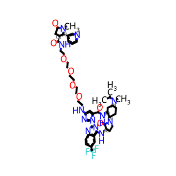 CC(C)N(C)[C@@H]1CC[C@H](N2CC[C@H](Nc3ncnc4ccc(C(F)(F)F)cc34)C2=O)[C@H](NC(=O)c2cc(NCCOCCOCCOCCOCCNC(=O)[C@H]3CC(=O)N(C)[C@@H]3c3cccnc3)ncn2)C1